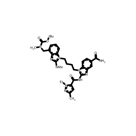 CCn1nc(C)cc1C(=O)Nc1nc2cc(C(N)=O)ccc2n1CCCCn1c(NC)nc2c(CN(C)C(=O)OC(C)(C)C)cccc21